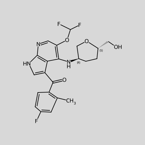 Cc1cc(F)ccc1C(=O)c1c[nH]c2ncc(OC(F)F)c(N[C@@H]3CC[C@@H](CO)OC3)c12